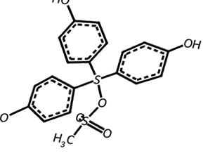 CS(=O)(=O)OS(c1ccc(O)cc1)(c1ccc(O)cc1)c1ccc(O)cc1